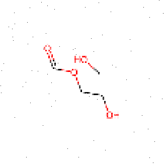 CO.O=COCCO